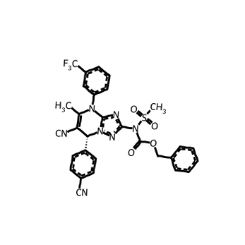 [C-]#[N+]C1=C(C)N(c2cccc(C(F)(F)F)c2)c2nc(N(C(=O)OCc3ccccc3)S(C)(=O)=O)nn2[C@@H]1c1ccc(C#N)cc1